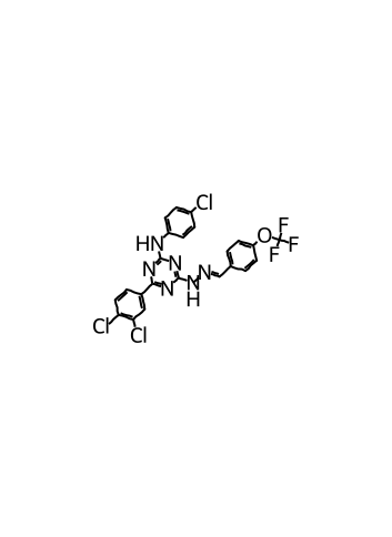 FC(F)(F)Oc1ccc(C=NNc2nc(Nc3ccc(Cl)cc3)nc(-c3ccc(Cl)c(Cl)c3)n2)cc1